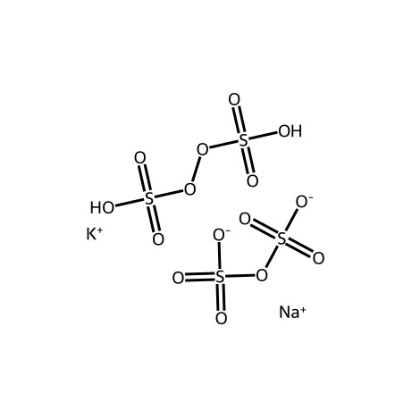 O=S(=O)(O)OOS(=O)(=O)O.O=S(=O)([O-])OS(=O)(=O)[O-].[K+].[Na+]